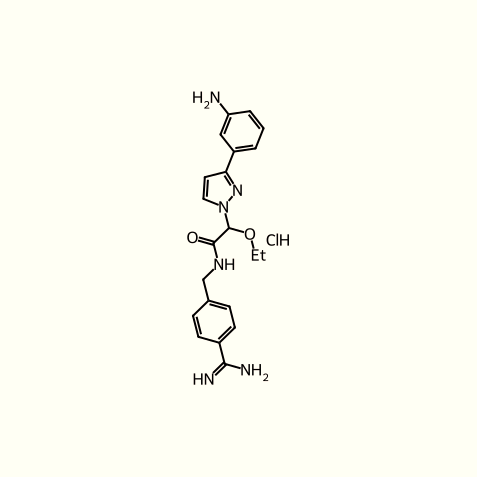 CCOC(C(=O)NCc1ccc(C(=N)N)cc1)n1ccc(-c2cccc(N)c2)n1.Cl